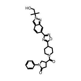 CC(C)(CO)n1cc2ccc(-c3noc(C4CCN(C(=O)C5CC(=O)N(c6ccccc6)C5)CC4)n3)cc2n1